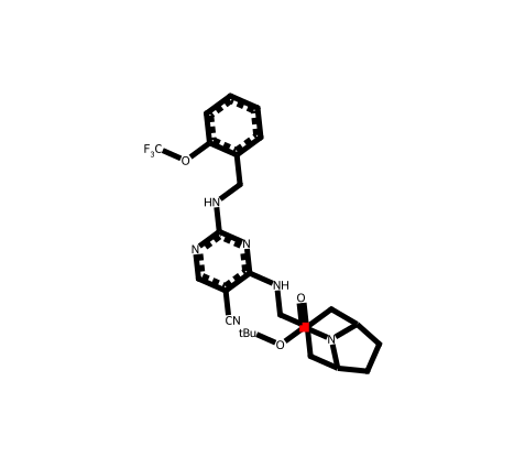 CC(C)(C)OC(=O)N1C2CCC1CC(CNc1nc(NCc3ccccc3OC(F)(F)F)ncc1C#N)C2